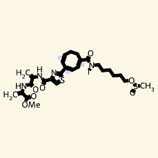 C=C(NC(=O)c1csc(C2=C/C=C(/C(=O)N(I)CCCCCCOS(C)=O)CC/C=C\2)n1)C(=O)NC(=C)C(=O)OC